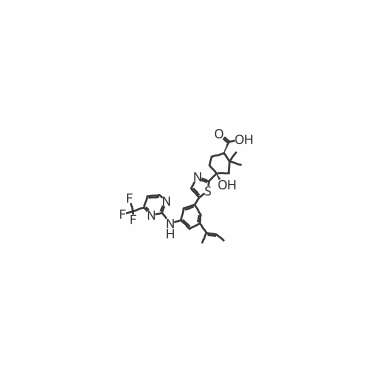 CC=C(C)c1cc(Nc2nccc(C(F)(F)F)n2)cc(-c2cnc([C@]3(O)CC[C@@H](C(=O)O)C(C)(C)C3)s2)c1